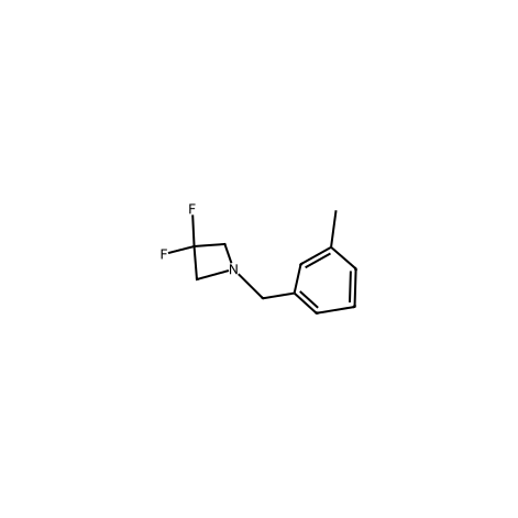 Cc1cccc(CN2CC(F)(F)C2)c1